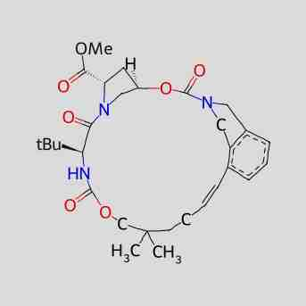 COC(=O)[C@@H]1C[C@@H]2CN1C(=O)[C@H](C(C)(C)C)NC(=O)OCC(C)(C)CC/C=C/c1cccc3c1CN(C3)C(=O)O2